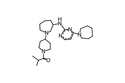 CC(C)C(=O)N1CCC(N2CCCCC(Nc3nccc(N4CCCCCC4)n3)C2)CC1